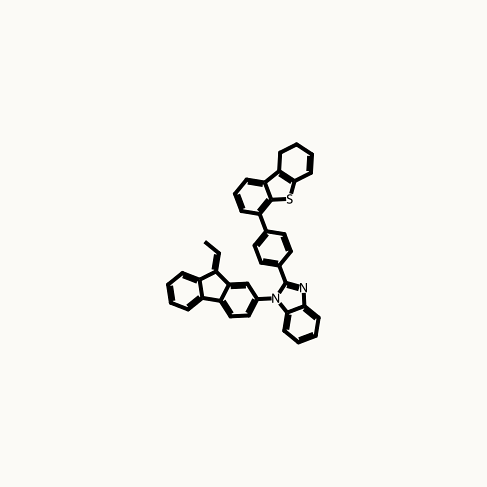 C/C=C1\c2ccccc2-c2ccc(-n3c(-c4ccc(-c5cccc6c7c(sc56)C=CCC7)cc4)nc4ccccc43)cc21